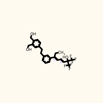 CC/C(=C\C=C\C(O)(C(F)(F)F)C(F)(F)F)c1cccc(CCc2ccc(CO)c(CO)c2)c1